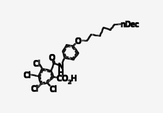 CCCCCCCCCCCCCCCCOc1ccc(NC(=O)c2c(Cl)c(Cl)c(Cl)c(Cl)c2C(=O)O)cc1